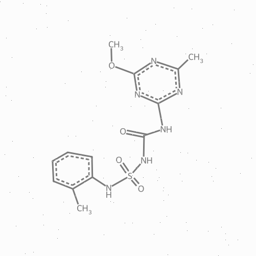 COc1nc(C)nc(NC(=O)NS(=O)(=O)Nc2ccccc2C)n1